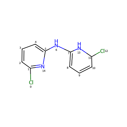 Clc1cccc(NC2=CC=CC(Cl)N2)n1